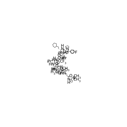 CC(C)C[C@H](NC(=O)[C@H](CC(C)C)NC(=O)[C@](C)(NC(=O)[C@H](CC(C)C)NC(=O)[C@H](CCC1CCCCC1)NC(=O)[C@@H]1CCCN1C(=O)c1ccc(F)cc1)C(F)(F)F)C(=O)NC(C)(C)C(=O)NC(C)(C)C(=O)NCCC(=O)NC1(CN(C)C)CCC1